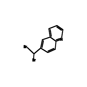 BrC(Br)c1ccc2ncccc2c1